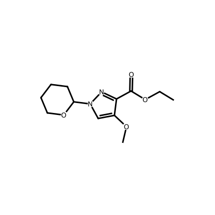 CCOC(=O)c1nn(C2CCCCO2)cc1OC